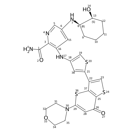 NC(=O)c1ncc(N[C@@H]2CCCC[C@@H]2O)cc1Nc1csc(-c2csc3c(=O)cc(N4CCOCC4)sc23)c1